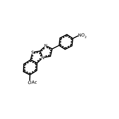 CC(=O)Oc1ccc2sc3nc(-c4ccc([N+](=O)[O-])cc4)cn3c2c1